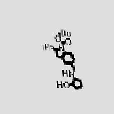 CC(C)c1cc2cc(CNC3CCCC3O)ccc2n1C(=O)OC(C)(C)C